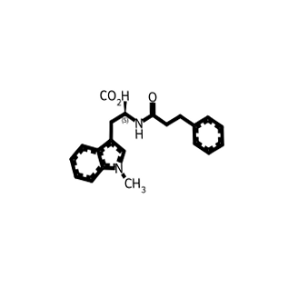 Cn1cc(C[C@H](NC(=O)CCc2ccccc2)C(=O)O)c2ccccc21